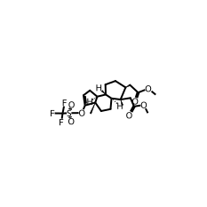 COC(=O)C[C@@H]1CC[C@@H]2[C@H](CC[C@]3(C)C(OS(=O)(=O)C(F)(F)F)=CC[C@@H]23)[C@@]1(C)CC(=O)OC